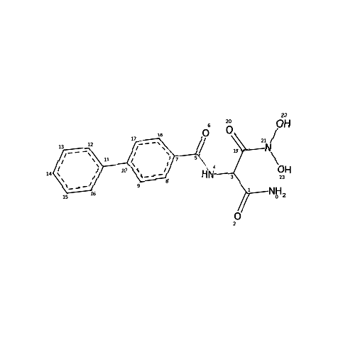 NC(=O)C(NC(=O)c1ccc(-c2ccccc2)cc1)C(=O)N(O)O